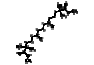 COC(=O)C(C)(C)CCC[S+]([O-])CCC[S+]([O-])CCCC(C)(C)C(=O)OC